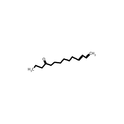 C=CC=CCCCCCCC(=O)CCC